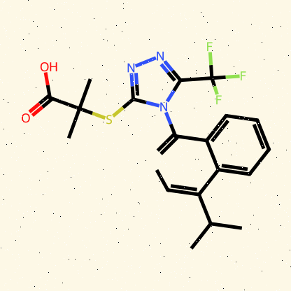 C=C(c1ccccc1/C(=C\C)C(C)C)n1c(SC(C)(C)C(=O)O)nnc1C(F)(F)F